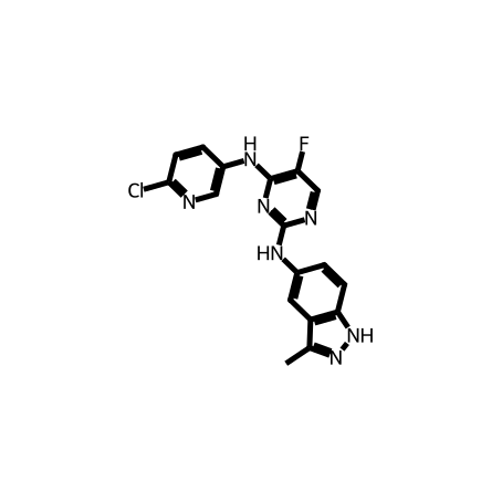 Cc1n[nH]c2ccc(Nc3ncc(F)c(Nc4ccc(Cl)nc4)n3)cc12